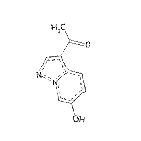 CC(=O)c1cnn2cc(O)ccc12